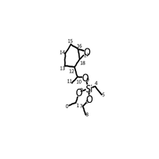 CCO[Si](CC)(OCC)OC(C)C1CCCC2OC21